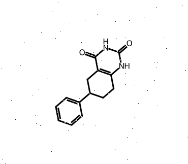 O=c1[nH]c2c(c(=O)[nH]1)CC(c1ccccc1)CC2